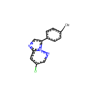 N#Cc1ccc(-c2cnc3cc(Cl)cnn23)cc1